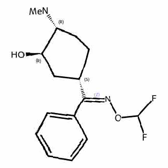 CN[C@@H]1CC[C@H](/C(=N/OC(F)F)c2ccccc2)C[C@H]1O